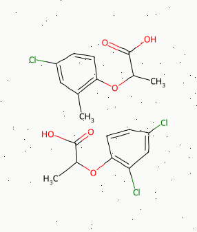 CC(Oc1ccc(Cl)cc1Cl)C(=O)O.Cc1cc(Cl)ccc1OC(C)C(=O)O